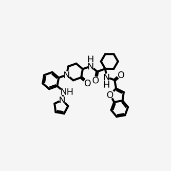 O=C(NC1(C(=O)NC2CCN(c3ccccc3NN3CC=CC3)CC2=O)CCCCC1)c1cc2ccccc2o1